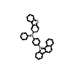 C1=c2sc3ccccc3c2=CC(N(c2ccccc2)c2ccc(-n3c4ccccc4c4ccc5ccccc5c43)cc2)C1